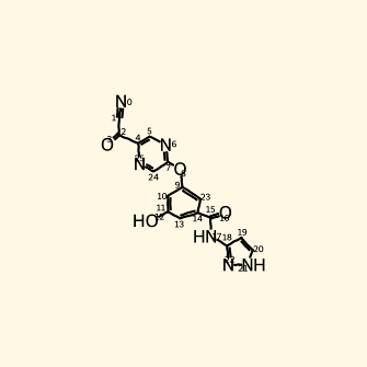 N#CC(=O)c1cnc(Oc2cc(O)cc(C(=O)Nc3cc[nH]n3)c2)cn1